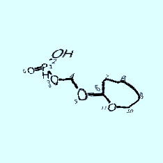 O=[PH](O)OCOC1CCCCO1